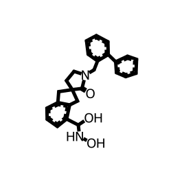 O=C1N(Cc2ccccc2-c2ccccc2)CCC12Cc1cccc(C(O)NO)c1C2